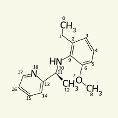 CCc1cccc(OC)c1N[C@@H](C)c1ccccn1